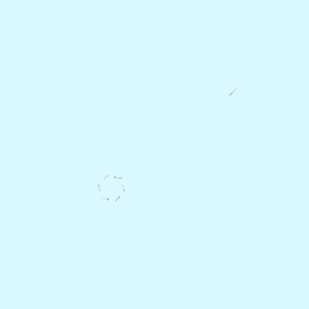 C=CC[C@H]1CC[C@H](CC[C@H]2CC[C@H](c3cc(F)c(C(F)(F)F)c(F)c3)CC2)CC1